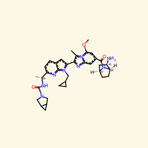 COc1cc(C(=O)N2[C@H]3CC[C@@H]2[C@H](N)C3)cc2nc(-c3cc4ccc([C@@H](C)NC(=O)N5CC6CC6C5)nc4n3CC3CC3)c(C)n12